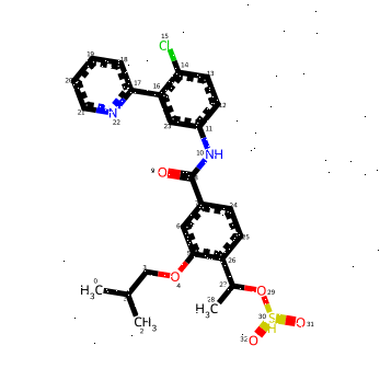 CC(C)COc1cc(C(=O)Nc2ccc(Cl)c(-c3ccccn3)c2)ccc1C(C)O[SH](=O)=O